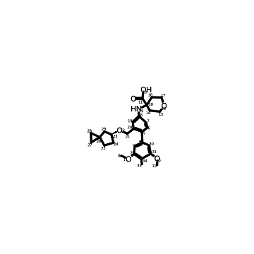 COc1cc(-c2ccc(NC3(C(=O)O)CCOCC3)cc2CO[C@H]2CCC3(CC3)C2)cc(OC)c1C